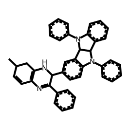 CC1C=CC2=C(C1)NC(c1ccc3c(c1)C1C(c4ccccc4N1c1ccccc1)N3c1ccccc1)C(c1ccccc1)=N2